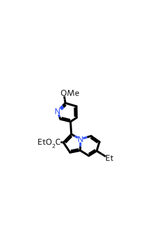 CCOC(=O)c1cc2cc(CC)ccn2c1-c1ccc(OC)nc1